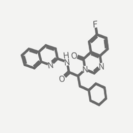 O=C(Nc1ccc2ccccc2n1)C(CC1CCCCC1)n1cnc2ccc(F)cc2c1=O